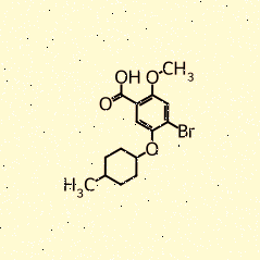 COc1cc(Br)c(OC2CCC(C)CC2)cc1C(=O)O